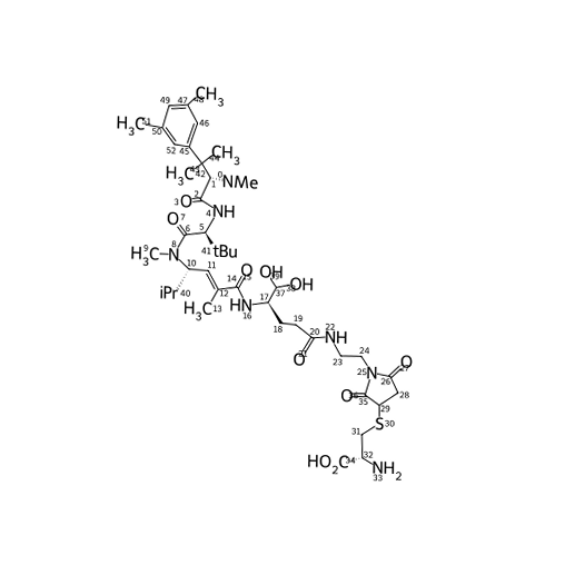 CN[C@H](C(=O)N[C@H](C(=O)N(C)[C@H](/C=C(\C)C(=O)N[C@H](CCC(=O)NCCN1C(=O)CC(SC[C@H](N)C(=O)O)C1=O)C(O)O)C(C)C)C(C)(C)C)C(C)(C)c1cc(C)cc(C)c1